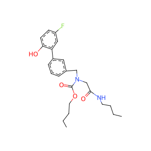 CCCCNC(=O)CN(Cc1cccc(-c2cc(F)ccc2O)c1)C(=O)OCCCC